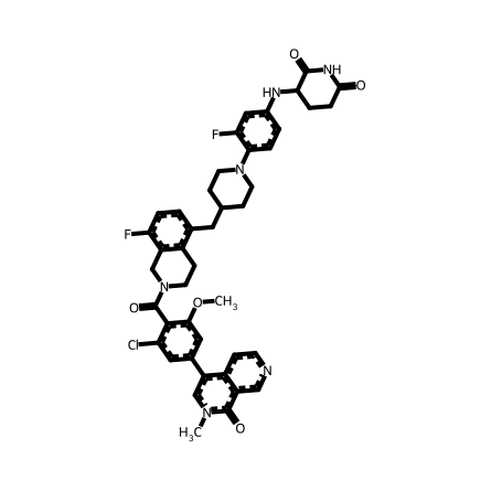 COc1cc(-c2cn(C)c(=O)c3cnccc23)cc(Cl)c1C(=O)N1CCc2c(CC3CCN(c4ccc(NC5CCC(=O)NC5=O)cc4F)CC3)ccc(F)c2C1